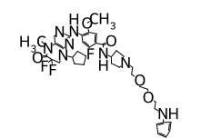 COc1cc(C(=O)NC2CCN(CCOCCOCCNc3ccccc3)CC2)c(F)cc1Nc1ncc2c(n1)N(C1CCCC1)CC(F)(F)C(=O)N2C